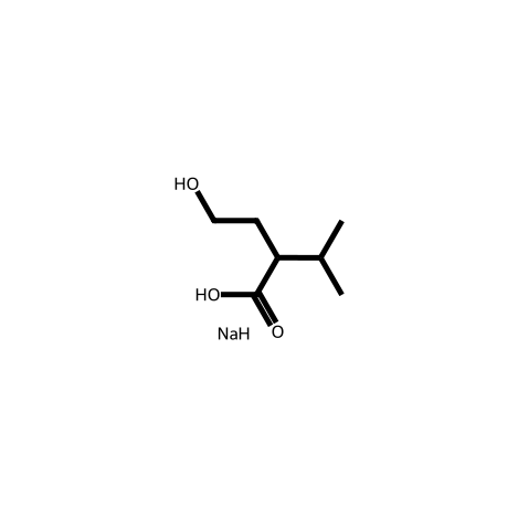 CC(C)C(CCO)C(=O)O.[NaH]